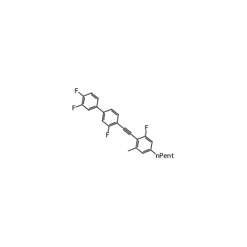 CCCCCc1cc(C)c(C#Cc2ccc(-c3ccc(F)c(F)c3)cc2F)c(F)c1